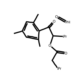 Cc1cc(C)c(C(=O)C(OC(=O)CC(C)C)C(C)C)c(C)c1.O=P